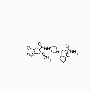 COc1cc(N)c(Cl)cc1C(=O)NCC1CCN(C(COC(N)=O)c2ccccc2Cl)CC1